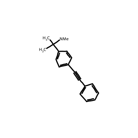 CNC(C)(C)c1ccc(C#Cc2ccccc2)cc1